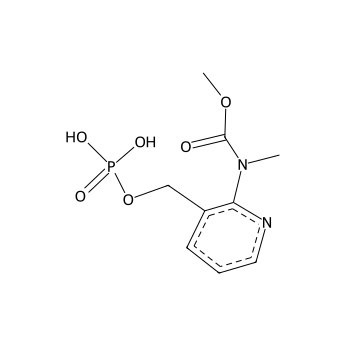 COC(=O)N(C)c1ncccc1COP(=O)(O)O